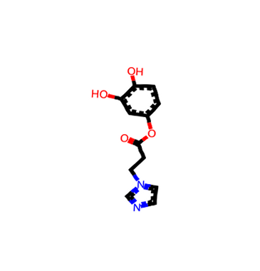 O=C(CCn1ccnc1)Oc1ccc(O)c(O)c1